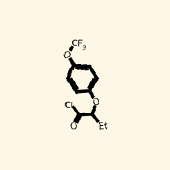 CCC(Oc1ccc(OC(F)(F)F)cc1)C(=O)Cl